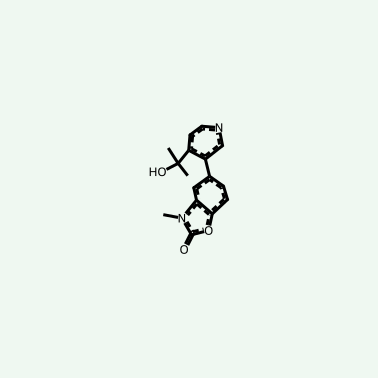 Cn1c(=O)oc2ccc(-c3cnccc3C(C)(C)O)cc21